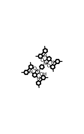 Cc1ccc2c(c1)c1cc(C)ccc1n2-c1ccc(-n2c3ccc(C)cc3c3cc(C)ccc32)c2c1C(=O)N(c1ccc(N3C(=O)c4c(-n5c6ccc(C)cc6c6cc(C)ccc65)ccc(-n5c6ccc(C)cc6c6cc(C)ccc65)c4C3O)cc1)C2=O